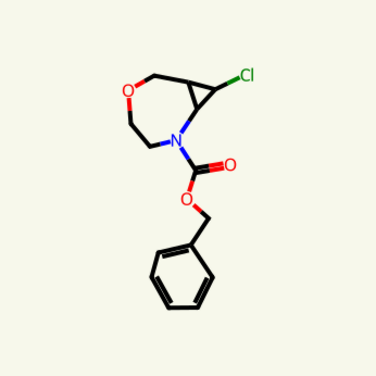 O=C(OCc1ccccc1)N1CCOCC2C(Cl)C21